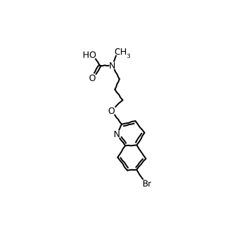 CN(CCCOc1ccc2cc(Br)ccc2n1)C(=O)O